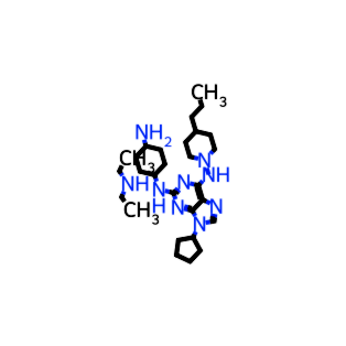 CCCC1CCN(Nc2nc(NC3CCC(N)CC3)nc3c2ncn3C2CCCC2)CC1.CCNCC